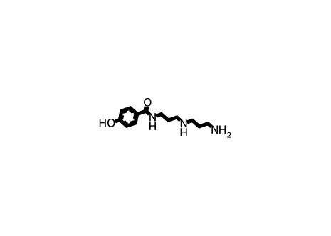 NCCCNCCCNC(=O)c1ccc(O)cc1